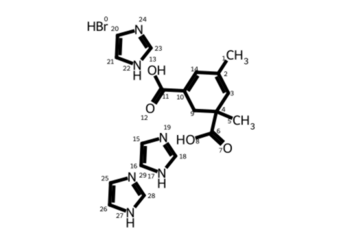 Br.CC1=CC(C)(C(=O)O)CC(C(=O)O)=C1.c1c[nH]cn1.c1c[nH]cn1.c1c[nH]cn1